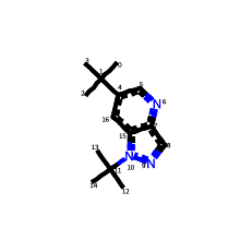 CC(C)(C)c1cnc2cnn(C(C)(C)C)c2c1